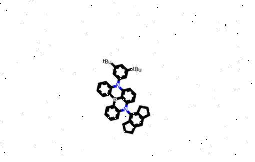 CC(C)(C)c1cc(N2c3ccccc3B3c4ccccc4N(c4c5c(cc6c4CCC6)CCC5)c4cccc2c43)cc(C(C)(C)C)c1